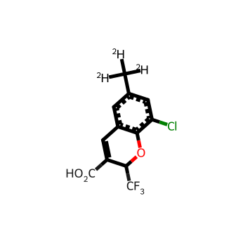 [2H]C([2H])([2H])c1cc(Cl)c2c(c1)C=C(C(=O)O)C(C(F)(F)F)O2